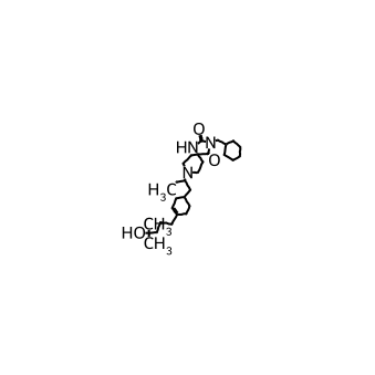 CCC(CC1CC=C(CCCC(C)(C)O)CC1)N1CCC2(CC1)NC(=O)N(CC1CCCCC1)C2=O